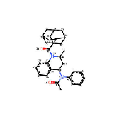 CC(=O)N(c1ccccc1)C1CC(C)N(C(=O)C23CC4CC(CC(C4)C2)C3)c2ccccc21